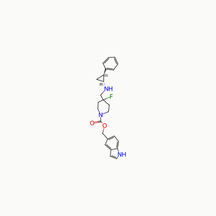 O=C(OCc1ccc2[nH]ccc2c1)N1CCC(F)(CN[C@@H]2C[C@H]2c2ccccc2)CC1